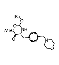 COC(=O)[C@H](Cc1ccc(CN2CCOCC2)cc1)NC(=O)OC(C)(C)C